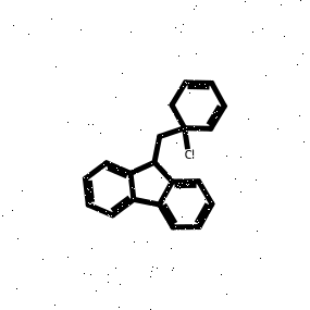 ClC1(CC2c3ccccc3-c3ccccc32)[CH]C=CC=C1